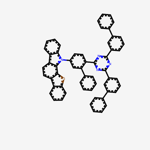 c1ccc(-c2cccc(-c3nc(-c4cccc(-c5ccccc5)c4)nc(-c4ccc(-n5c6ccccc6c6ccc7c8ccccc8sc7c65)cc4-c4ccccc4)n3)c2)cc1